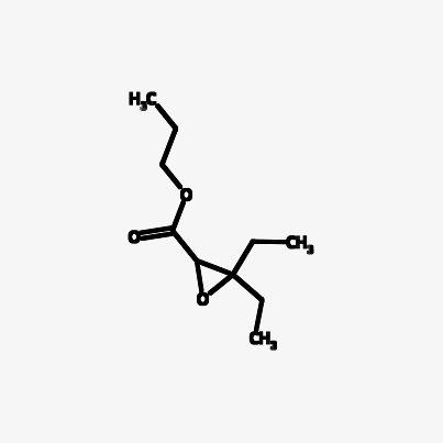 CCCOC(=O)C1OC1(CC)CC